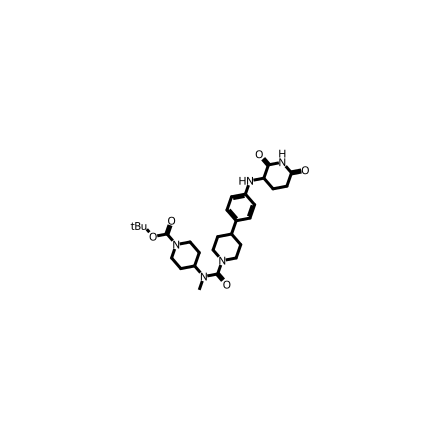 CN(C(=O)N1CCC(c2ccc(NC3CCC(=O)NC3=O)cc2)CC1)C1CCN(C(=O)OC(C)(C)C)CC1